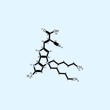 CCCCCC[Si]1(CCCCCC)c2cc(C)sc2-c2sc(/C=C(\C#N)C(=O)O)cc21